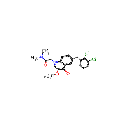 CN(C)C(=O)Cn1cc(OC(=O)O)c(=O)c2cc(Cc3cccc(Cl)c3Cl)ccc21